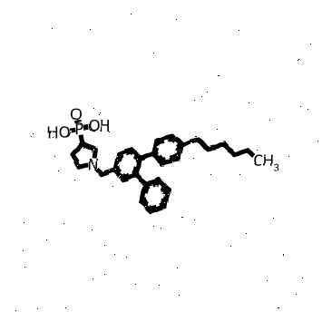 CCCCCCc1ccc(-c2ccc(CN3CCC(P(=O)(O)O)C3)cc2-c2ccccc2)cc1